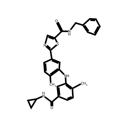 Cc1ccc(C(=O)NC2CC2)cc1Nc1cc(-c2ncc(C(=O)NCc3ccccc3)s2)ccc1C